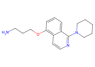 NCCCOc1cccc2c(N3CCCCC3)nccc12